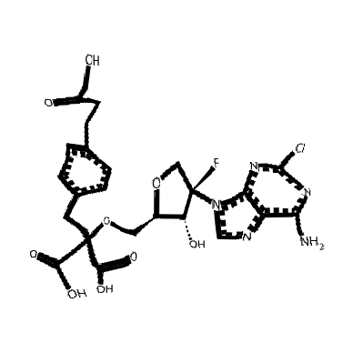 Nc1nc(Cl)nc2c1ncn2[C@@]1(F)CO[C@H](COC(Cc2ccc(CC(=O)O)cc2)(C(=O)O)C(=O)O)[C@H]1O